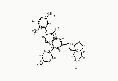 Cc1cc(N)nc(-c2ncc3c(N4CCN(C#N)CC4)nc(OC[C@@]45CCCN4C[C@H](F)C5)nc3c2F)c1C(F)(F)F